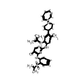 Cc1cc(Nc2ncc(Cl)c(Nc3ccccc3S(=O)(=O)C(C)C)n2)c(OC(C)C)cc1C1CCN(N2C=CC=CN=C2)CC1